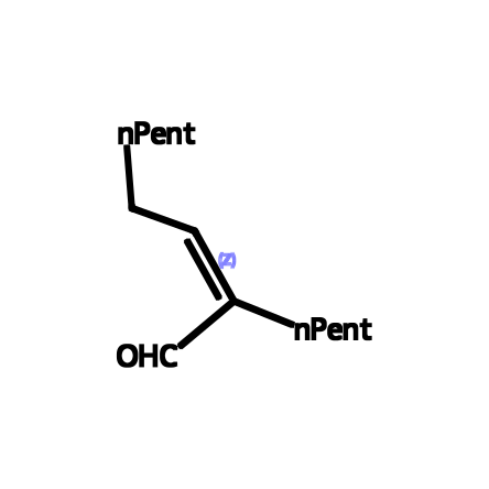 CCCCCC/C=C(\C=O)CCCCC